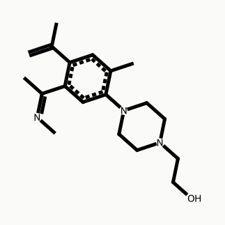 C=C(C)c1cc(C)c(N2CCN(CCO)CC2)cc1/C(C)=N\C